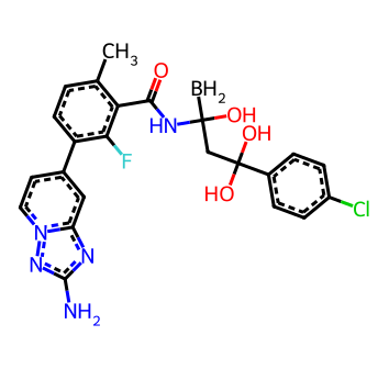 BC(O)(CC(O)(O)c1ccc(Cl)cc1)NC(=O)c1c(C)ccc(-c2ccn3nc(N)nc3c2)c1F